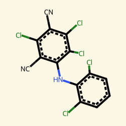 N#Cc1c(Cl)c(Cl)c(Nc2c(Cl)cccc2Cl)c(C#N)c1Cl